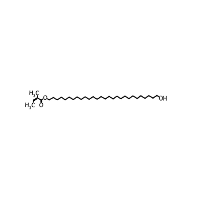 CC=C(C)C(=O)OCCCCCCCCCCCCCCCCCCCCCCCCCCCCO